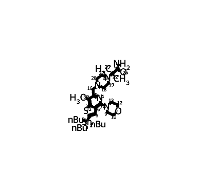 CCC[CH2][Sn]([CH2]CCC)([CH2]CCC)[c]1cc2c(N3CCOCC3)nc(CN3CCN(C(C)(C)C(N)=O)CC3)c(C)c2s1